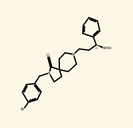 CC(=O)N[C@@H](CCN1CCC2(CC1)CCN(Cc1ccc(Br)cc1)C2=O)c1ccccc1